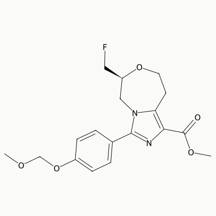 COCOc1ccc(-c2nc(C(=O)OC)c3n2C[C@@H](CF)OCC3)cc1